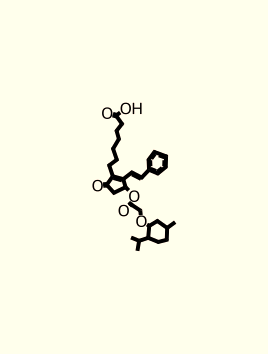 CC1CCC(C(C)C)C(OCC(=O)OC2CC(=O)C(CCCCCCC(=O)O)=C2C=Cc2ccccc2)C1